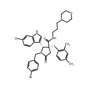 Cc1ccc(S[C@]2(C(=O)NCCCN3CCOCC3)CC(=O)N(Cc3ccc(Br)cc3)[C@@H]2c2c[nH]c3cc(Cl)ccc23)c(C)c1